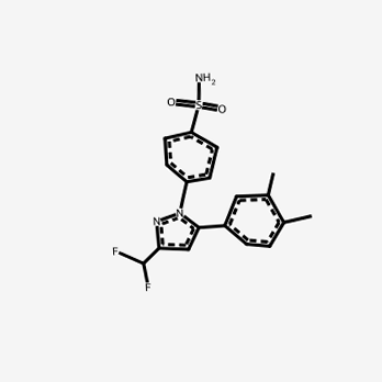 Cc1ccc(-c2cc(C(F)F)nn2-c2ccc(S(N)(=O)=O)cc2)cc1C